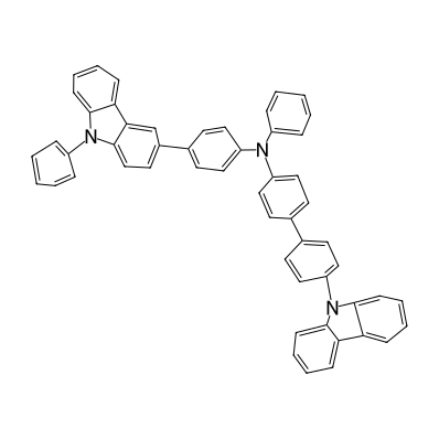 c1ccc(N(c2ccc(-c3ccc(-n4c5ccccc5c5ccccc54)cc3)cc2)c2ccc(-c3ccc4c(c3)c3ccccc3n4-c3ccccc3)cc2)cc1